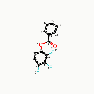 O=C(Oc1ccc(F)c(F)c1F)c1ccccc1